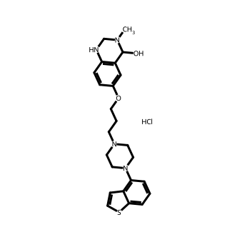 CN1CNc2ccc(OCCCN3CCN(c4cccc5sccc45)CC3)cc2C1O.Cl